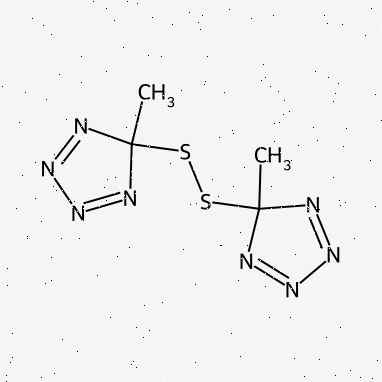 CC1(SSC2(C)N=NN=N2)N=NN=N1